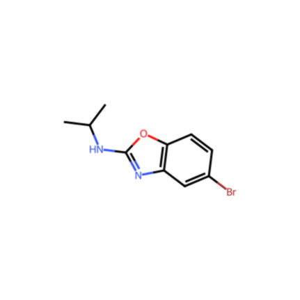 CC(C)Nc1nc2cc(Br)ccc2o1